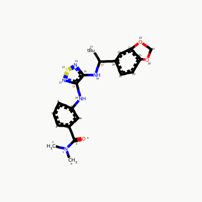 CN(C)C(=O)c1cccc(Nc2nsnc2NC(c2ccc3c(c2)OCO3)C(C)(C)C)c1